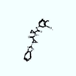 O=C(NC1(C(=O)Nc2ccc(F)c(C(F)(F)F)c2)CC1)C1C[C@@H]1c1nc2ccccc2[nH]1